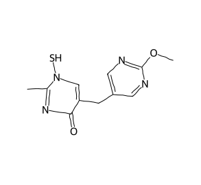 COc1ncc(Cc2cn(S)c(C)nc2=O)cn1